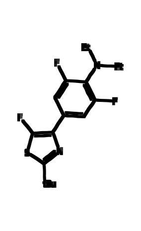 CCN(CC)c1c(F)cc(-c2nc(C(C)(C)C)sc2F)cc1F